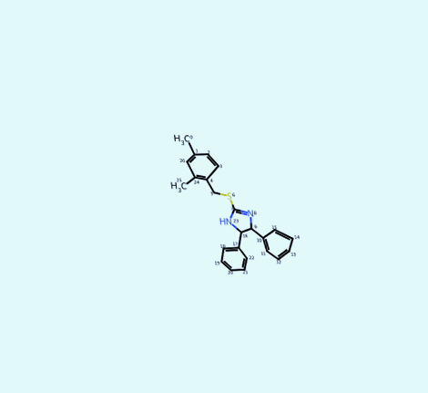 Cc1ccc(CSC2=NC(c3ccccc3)C(c3ccccc3)N2)c(C)c1